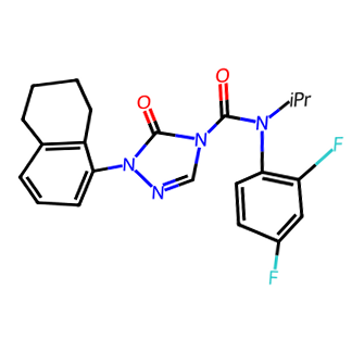 CC(C)N(C(=O)n1cnn(-c2cccc3c2CCCC3)c1=O)c1ccc(F)cc1F